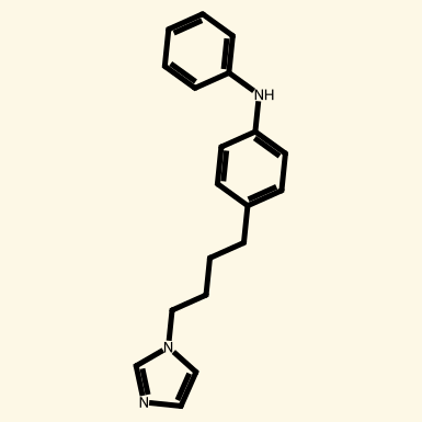 c1ccc(Nc2ccc(CCCCn3ccnc3)cc2)cc1